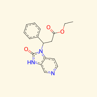 CCOC(=O)CC(c1ccccc1)n1c(=O)[nH]c2cnccc21